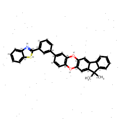 CC1(C)c2ccccc2-c2cc3c(cc21)Oc1ccc(-c2cccc(-c4nc5ccccc5s4)c2)cc1O3